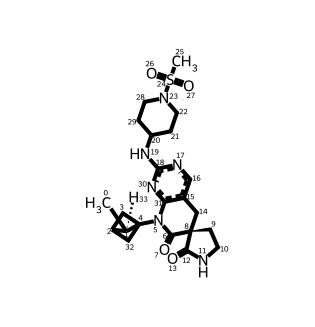 C[C@@H]1C2CC1(N1C(=O)[C@]3(CCNC3=O)Cc3cnc(NC4CCN(S(C)(=O)=O)CC4)nc31)C2